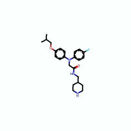 CC(C)COc1ccc(N(CC(=O)NCC2CCNCC2)c2ccc(F)cc2)cc1